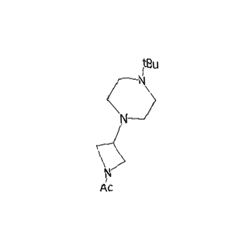 CC(=O)N1CC(N2CCN(C(C)(C)C)CC2)C1